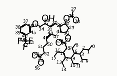 CCCC(CC)C(CC)C(CC)C(CC)C(CC)CC(=O)O[C@H]1C[C@@H](OC(C)=O)[C@H](/C=C/[C@@H](O)COc2cccc(C(F)(F)F)c2)[C@H]1C/C=C\CCCC(=O)OC